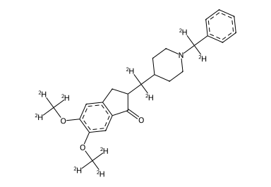 [2H]C([2H])([2H])Oc1cc2c(cc1OC([2H])([2H])[2H])C(=O)C(C([2H])([2H])C1CCN(C([2H])([2H])c3ccccc3)CC1)C2